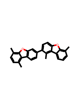 Cc1cccc2c1oc1ccc(-c3ccc4c(c3)oc3c(C)ccc(C)c34)c(C)c12